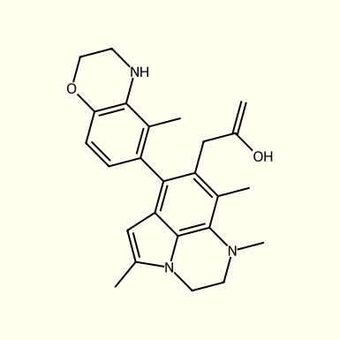 C=C(O)Cc1c(C)c2c3c(cc(C)n3CCN2C)c1-c1ccc2c(c1C)NCCO2